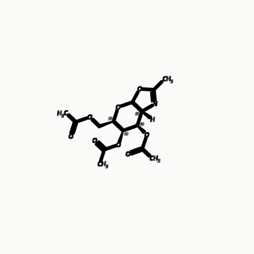 CC(=O)OC[C@H]1OC2OC(C)=N[C@@H]2[C@@H](OC(C)=O)[C@H]1OC(C)=O